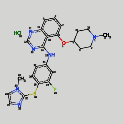 CN1CCC(Oc2cccc3ncnc(Nc4ccc(Sc5nccn5C)c(F)c4)c23)CC1.Cl